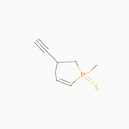 C#CC1C=CP(C)(=S)C1